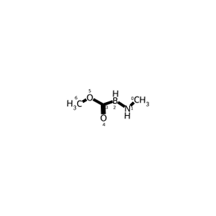 CNBC(=O)OC